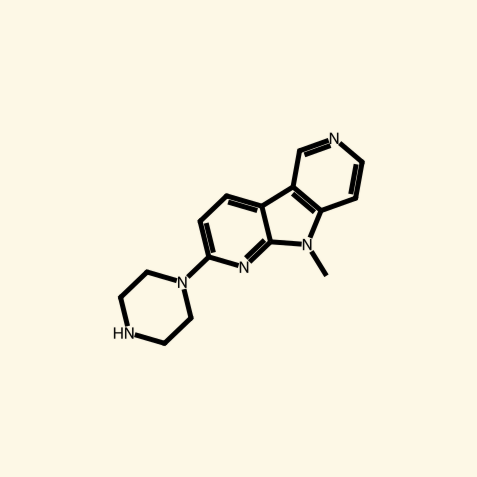 Cn1c2ccncc2c2ccc(N3CCNCC3)nc21